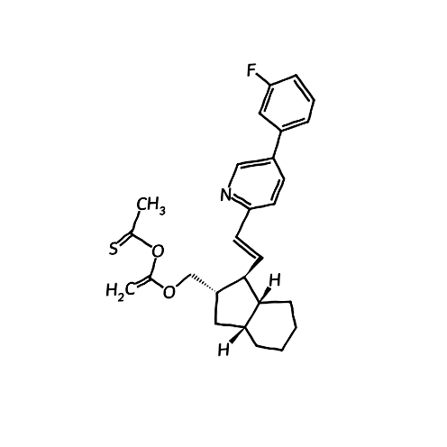 C=C(OC[C@H]1C[C@H]2CCCC[C@H]2[C@@H]1/C=C/c1ccc(-c2cccc(F)c2)cn1)OC(C)=S